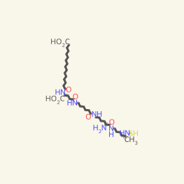 C[C@H](CCCCNC(=O)[C@@H](N)CCCCNC(=O)CCCCCNC(=O)CC[C@H](NC(=O)CCCCCCCCCCCCCCC(=O)O)C(=O)O)NS